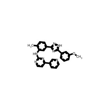 COc1cccc(-c2nc(-c3ccc(C)c(Nc4nccc(-c5cccnc5)n4)c3)n[nH]2)c1